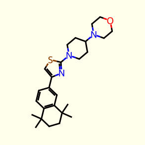 CC1(C)CCC(C)(C)c2cc(-c3csc(N4CCC(N5CCOCC5)CC4)n3)ccc21